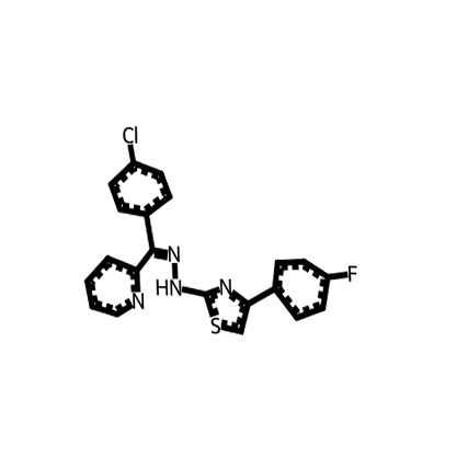 Fc1ccc(-c2csc(NN=C(c3ccc(Cl)cc3)c3ccccn3)n2)cc1